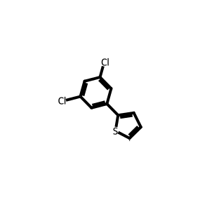 Clc1cc(Cl)cc(-c2cc[c]s2)c1